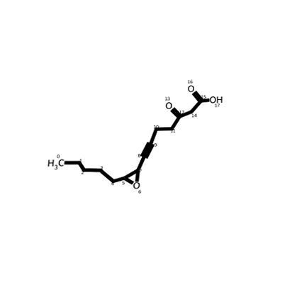 CCCCCC1OC1C#CCCC(=O)CC(=O)O